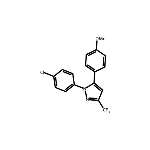 COc1ccc(-c2cc(C(F)(F)F)nn2-c2ccc(Cl)cc2)cc1